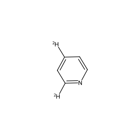 [2H]c1ccnc([2H])c1